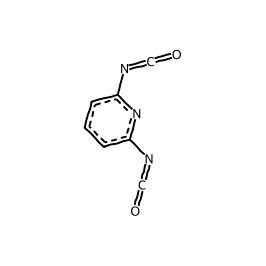 O=C=Nc1cccc(N=C=O)n1